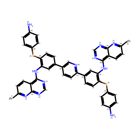 CC(C)c1ccc2c(Nc3cc(-c4ccc(-c5ccc(Sc6ccc(N)cc6)c(Nc6ncnc7nc(C(C)C)ccc67)c5)nc4)ccc3Sc3ccc(N)cc3)ncnc2n1